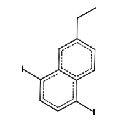 CCc1ccc2c(I)ccc(I)c2c1